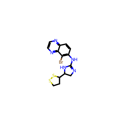 Brc1c(NC2=NCC([C]3CCSS3)N2)ccc2nccnc12